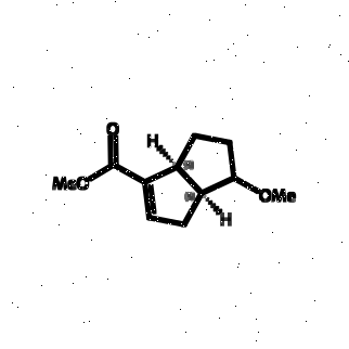 COC(=O)C1=CC[C@@H]2C(OC)CC[C@H]12